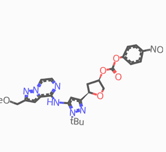 COCc1cc2c(Nc3cc([C@H]4C[C@@H](OC(=O)Oc5ccc([N+](=O)[O-])cc5)CO4)nn3C(C)(C)C)nccn2n1